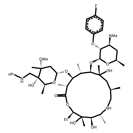 CCCNC[C@]1(O)[C@H](C)O[C@@H](O[C@H]2[C@H](C)[C@@H](O[C@@H]3O[C@H](C)C[C@H](NC)[C@H]3Oc3ccc(F)cc3)[C@](C)(O)C[C@@H](C)CN[C@H](C)[C@@H](O)[C@](C)(O)[C@@H](CC)OC(=O)[C@@H]2C)C[C@@]1(C)OC